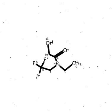 CCN(CC(F)(F)F)C(=O)CO